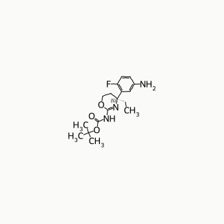 CC[C@@]1(c2cc(N)ccc2F)CCOC(NC(=O)OC(C)(C)C)=N1